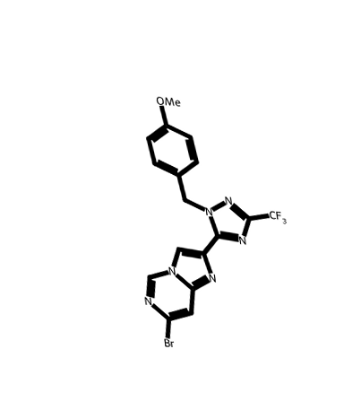 COc1ccc(Cn2nc(C(F)(F)F)nc2-c2cn3cnc(Br)cc3n2)cc1